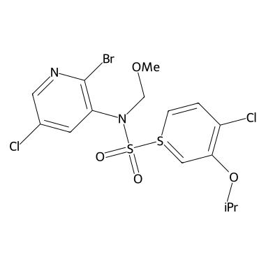 COCN(c1cc(Cl)cnc1Br)S(=O)(=O)S1=CC(OC(C)C)=C(Cl)C=C1